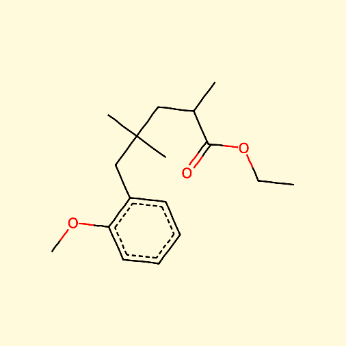 CCOC(=O)C(C)CC(C)(C)Cc1ccccc1OC